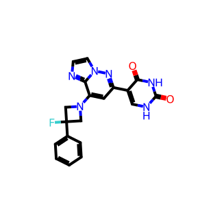 O=c1[nH]cc(-c2cc(N3CC(F)(c4ccccc4)C3)c3nccn3n2)c(=O)[nH]1